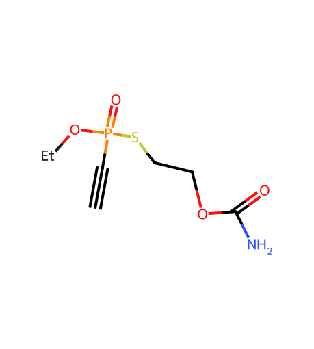 C#CP(=O)(OCC)SCCOC(N)=O